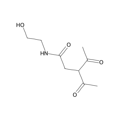 CC(=O)C(CC(=O)NCCO)C(C)=O